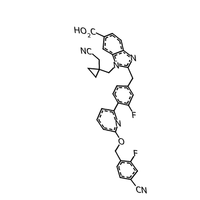 N#CCC1(Cn2c(Cc3ccc(-c4cccc(OCc5ccc(C#N)cc5F)n4)c(F)c3)nc3ccc(C(=O)O)cc32)CC1